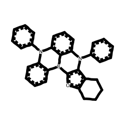 c1ccc(N2c3ccccc3B3c4oc5c(c4N(c4ccccc4)c4cccc2c43)CCCC5)cc1